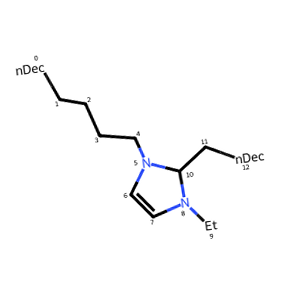 CCCCCCCCCCCCCCN1C=CN(CC)C1CCCCCCCCCCC